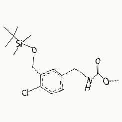 COC(=O)NCc1ccc(Cl)c(CO[Si](C)(C)C(C)(C)C)c1